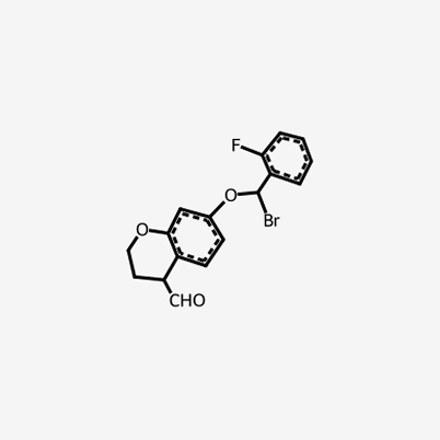 O=CC1CCOc2cc(OC(Br)c3ccccc3F)ccc21